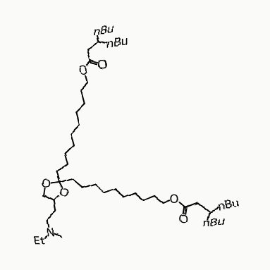 CCCCC(CCCC)CC(=O)OCCCCCCCCCCC1(CCCCCCCCCCOC(=O)CC(CCCC)CCCC)OCC(CCN(C)CC)O1